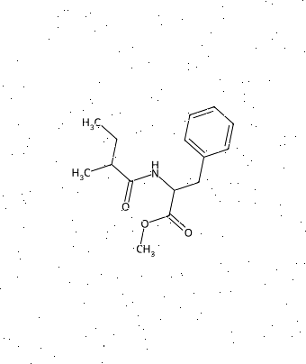 CCC(C)C(=O)NC(Cc1ccccc1)C(=O)OC